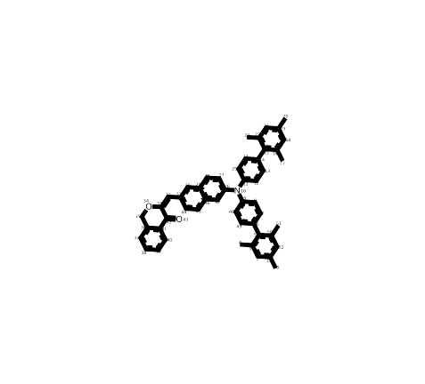 Cc1cc(C)c(-c2ccc(N(c3ccc(-c4c(C)cc(C)cc4C)cc3)c3ccc4cc(/C=C5/OCc6ccccc6C5=O)ccc4c3)cc2)c(C)c1